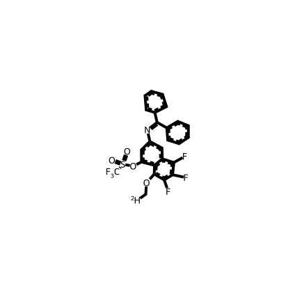 [2H]COc1c(F)c(F)c(F)c2cc(N=C(c3ccccc3)c3ccccc3)cc(OS(=O)(=O)C(F)(F)F)c12